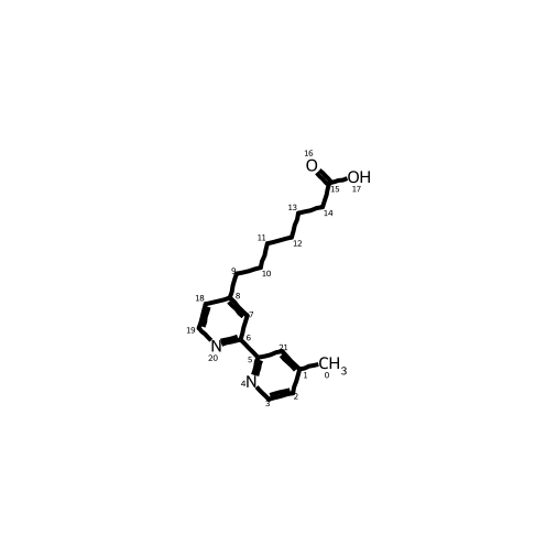 Cc1ccnc(-c2cc(CCCCCCC(=O)O)ccn2)c1